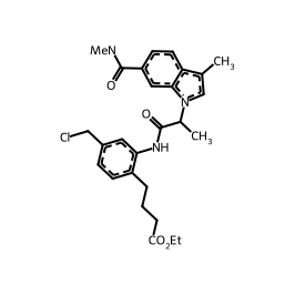 CCOC(=O)CCCc1ccc(CCl)cc1NC(=O)C(C)n1cc(C)c2ccc(C(=O)NC)cc21